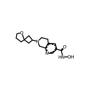 O=C(NO)c1cnc2c(c1)CCN(C1CC3(CCCO3)C1)C2